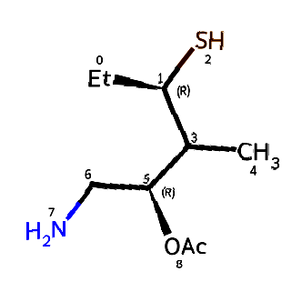 CC[C@@H](S)C(C)[C@H](CN)OC(C)=O